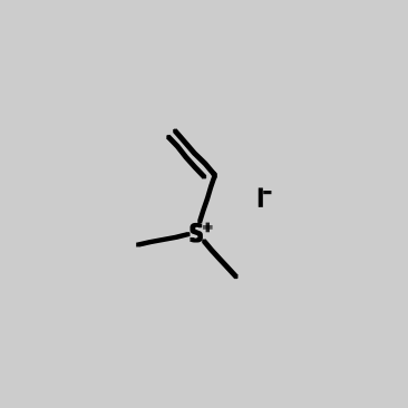 C=C[S+](C)C.[I-]